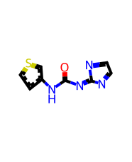 O=C(N=C1N=CC=N1)Nc1ccsc1